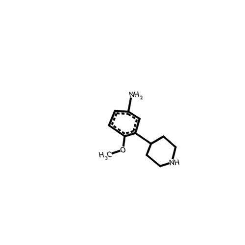 COc1ccc(N)cc1C1CCNCC1